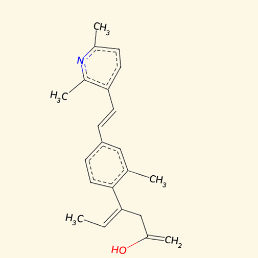 C=C(O)C/C(=C/C)c1ccc(/C=C/c2ccc(C)nc2C)cc1C